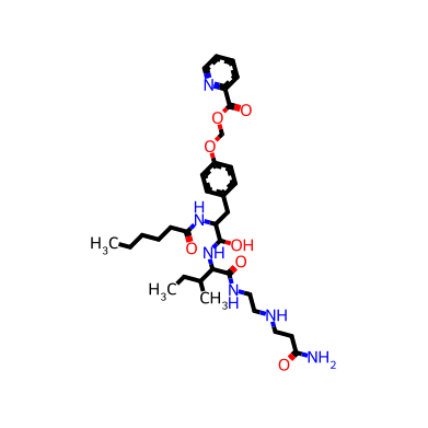 CCCCCC(=O)NC(Cc1ccc(OCOC(=O)c2ccccn2)cc1)C(O)NC(C(=O)NCCNCCC(N)=O)C(C)CC